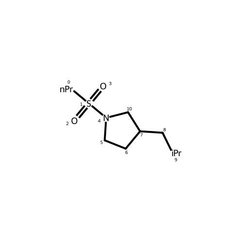 CCCS(=O)(=O)N1CCC(CC(C)C)C1